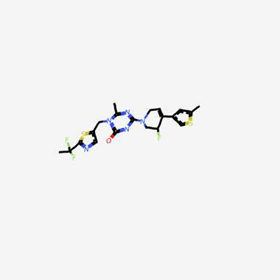 Cc1cc(C2=CCN(c3nc(C)n(Cc4cnc(C(C)(F)F)s4)c(=O)n3)CC2F)cs1